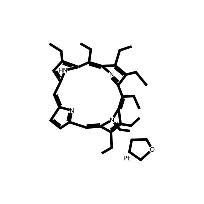 C1CCOC1.CCC1=C(CC)c2nc1c(CC)c1[nH]c(cc3nc(cc4c(CC)c(CC)c(c2CC)n4CC)C=C3)cc1CC.[Pt]